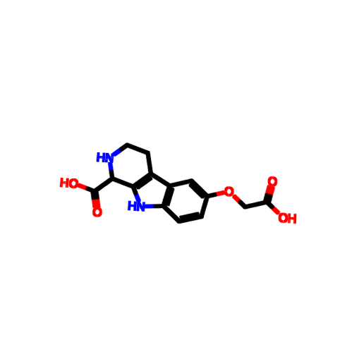 O=C(O)COc1ccc2[nH]c3c(c2c1)CCNC3C(=O)O